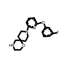 Fc1cccc(Oc2cccc(N3CCC4(CC3)CNCCO4)n2)c1